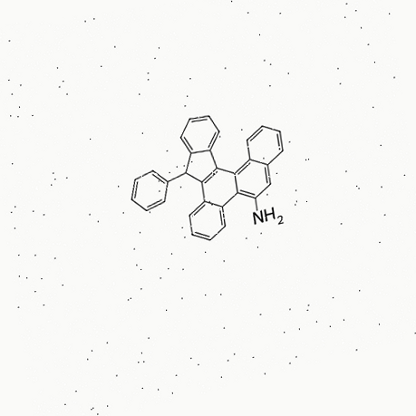 Nc1cc2ccccc2c2c3c(c4ccccc4c12)C(c1ccccc1)c1ccccc1-3